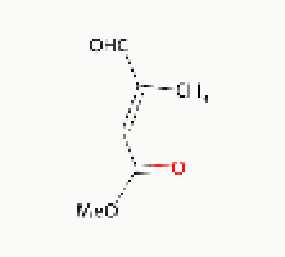 COC(=O)/C=C(\C)C=O